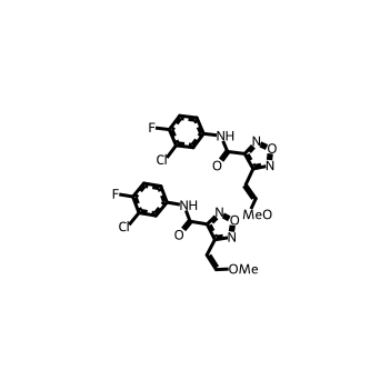 CO/C=C/c1nonc1C(=O)Nc1ccc(F)c(Cl)c1.CO/C=C\c1nonc1C(=O)Nc1ccc(F)c(Cl)c1